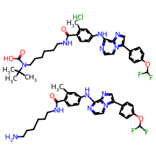 Cc1cc(Nc2nccn3c(-c4ccc(OC(F)F)cc4)cnc23)ccc1C(=O)NCCCCCCN.Cc1cc(Nc2nccn3c(-c4ccc(OC(F)F)cc4)cnc23)ccc1C(=O)NCCCCCCN(C(=O)O)C(C)(C)C.Cl